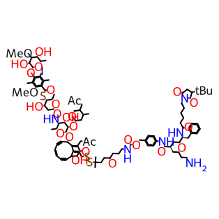 COc1c(C)c(OC2OC(C)C(O)C(OC)C2O)c(I)c(C)c1C(=O)SC1C(O)CC(ONC2C(C)OC(O[C@H]3C#C/C=C\C#C[C@]4(O)CC(=O)C(CC(C)=O)=C3/C4=C/CSSC(C)(C)CCC(=O)CCCNC(=O)OCc3ccc(NC(=O)[C@H](CCCCN)CC(=O)[C@H](Cc4ccccc4)NC(=O)CCCCCN4C(=O)CC(C(C)(C)C)C4=O)cc3)C(OC3CC(C)C(CC(C)=O)CO3)C2O)OC1C